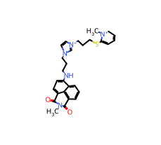 CN1C(=O)c2cccc3c(NCCCn4cc[n+](CCCSc5cccc[n+]5C)c4)ccc(c23)C1=O